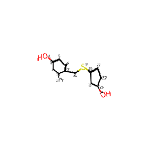 CC(C)C1CC(O)CCC1CSC1CCC(O)C1